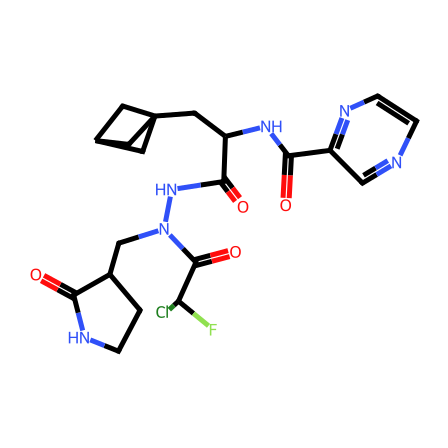 O=C(NC(CC12CC(C1)C2)C(=O)NN(CC1CCNC1=O)C(=O)C(F)Cl)c1cnccn1